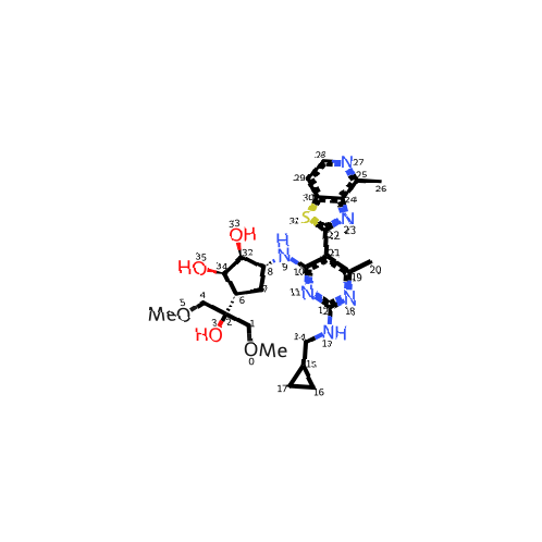 COCC(O)(COC)[C@H]1C[C@@H](Nc2nc(NCC3CC3)nc(C)c2-c2nc3c(C)nccc3s2)[C@H](O)[C@@H]1O